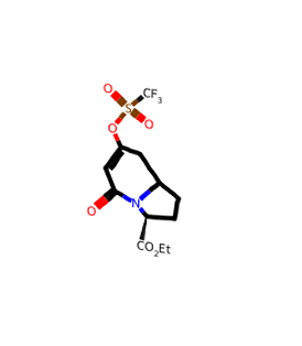 CCOC(=O)[C@@H]1CCC2CC(OS(=O)(=O)C(F)(F)F)=CC(=O)N21